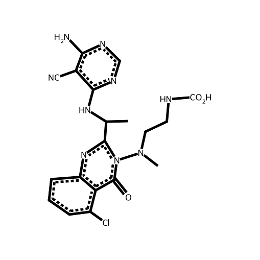 CC(Nc1ncnc(N)c1C#N)c1nc2cccc(Cl)c2c(=O)n1N(C)CCNC(=O)O